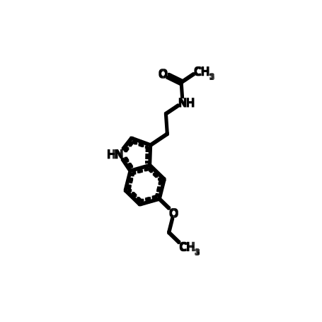 CCOc1ccc2[nH]cc(CCNC(C)=O)c2c1